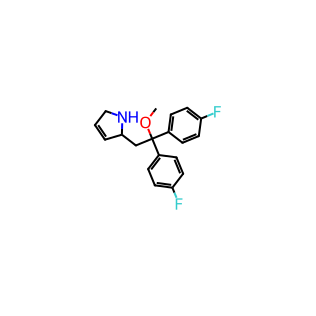 COC(CC1C=CCN1)(c1ccc(F)cc1)c1ccc(F)cc1